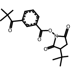 CC(C)(C)C(=O)c1cccc(C(=O)ON2C(=O)CC(C(C)(C)C)C2=O)c1